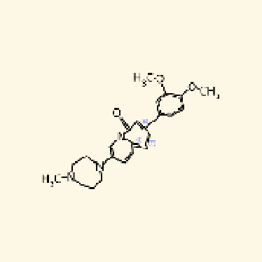 COc1ccc(C2=C\C(=O)N3C=C(N4CCCN(C)CC4)C=C\C3=C/C=C/2)cc1OC